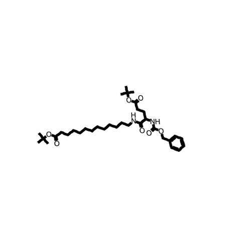 CC(C)(C)OC(=O)CCCCCCCCCCCCNC(=O)C(CCC(=O)OC(C)(C)C)NC(=O)OCc1ccccc1